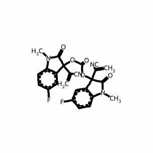 C=C(C#N)C1(OC(=O)OC2(C(=C)C#N)C(=O)N(C)c3ccc(F)cc32)C(=O)N(C)c2ccc(F)cc21